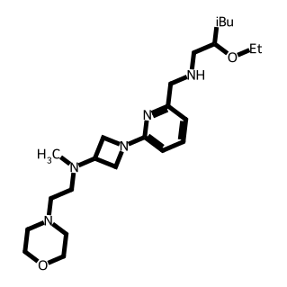 CCOC(CNCc1cccc(N2CC(N(C)CCN3CCOCC3)C2)n1)C(C)CC